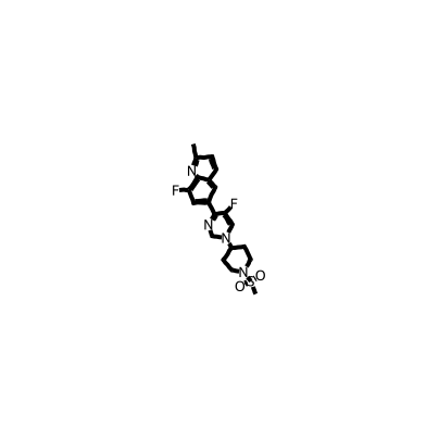 Cc1ccc2cc(C3=NCN(C4CCN(S(C)(=O)=O)CC4)C=C3F)cc(F)c2n1